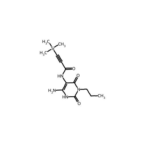 CCCn1c(=O)[nH]c(N)c(NC(=O)C#C[Si](C)(C)C)c1=O